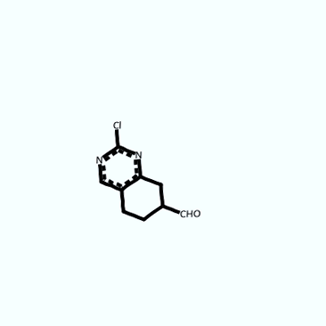 O=CC1CCc2cnc(Cl)nc2C1